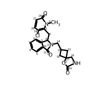 Cn1c(CC2c3ccccc3C(=O)N2CC2CC3(CNC(=O)O3)C2)c(Cl)ccc1=O